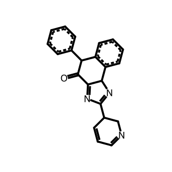 O=C1C2=NC(C3C=CC=NC3)=NC2c2ccccc2C1c1ccccc1